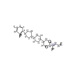 Cc1ccc(C2CCC(C3CCC(C4COC(/C(F)=C/CF)OC4)CC3)CC2)c(F)c1